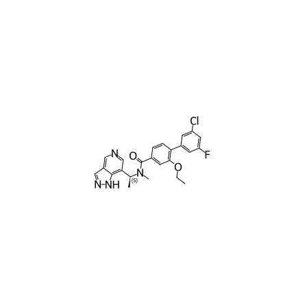 CCOc1cc(C(=O)N(C)[C@@H](C)c2cncc3cn[nH]c23)ccc1-c1cc(F)cc(Cl)c1